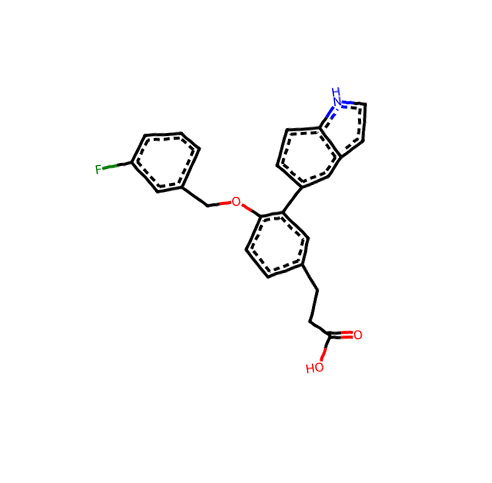 O=C(O)CCc1ccc(OCc2cccc(F)c2)c(-c2ccc3[nH]ccc3c2)c1